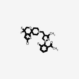 CC(=O)c1cccc(F)c1N1CC(CN2CCC3(CC2)OCC(F)(F)c2cc(Cl)sc23)C(C)=N1